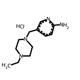 CCN1CCN(Cc2ccc(N)nc2)CC1.Cl